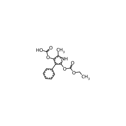 CCOC(=O)Oc1[nH]c(C)c(OC(=O)O)c1-c1ccccc1